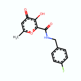 Cc1cc(=O)c(O)c(C(=O)NCc2ccc(F)cc2)o1